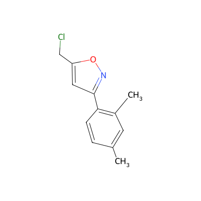 Cc1ccc(-c2cc(CCl)on2)c(C)c1